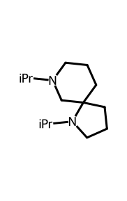 CC(C)N1CCCC2(CCCN2C(C)C)C1